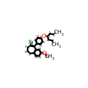 CCCC(CCC)Oc1ccc(C2=C(Br)CCCc3ccc(OC)cc32)cc1